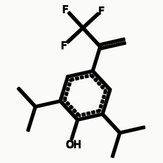 C=C(c1cc(C(C)C)c(O)c(C(C)C)c1)C(F)(F)F